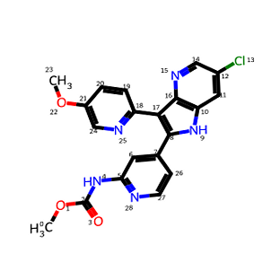 COC(=O)Nc1cc(-c2[nH]c3cc(Cl)cnc3c2-c2ccc(OC)cn2)ccn1